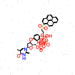 C=C1NC(=O)C(C)=CN1[C@H]1CC(Oc2ccccc2)[C@@H](COP(=O)(O)OP(=O)(O)OP(=O)(O)OCCS(=O)(=O)c2ccc3ccc4cccc5ccc2c3c45)O1